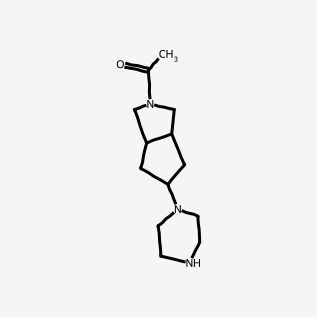 CC(=O)N1CC2CC(N3CCNCC3)CC2C1